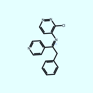 Clc1nnccc1/N=C(/Cc1ccccc1)c1ccncc1